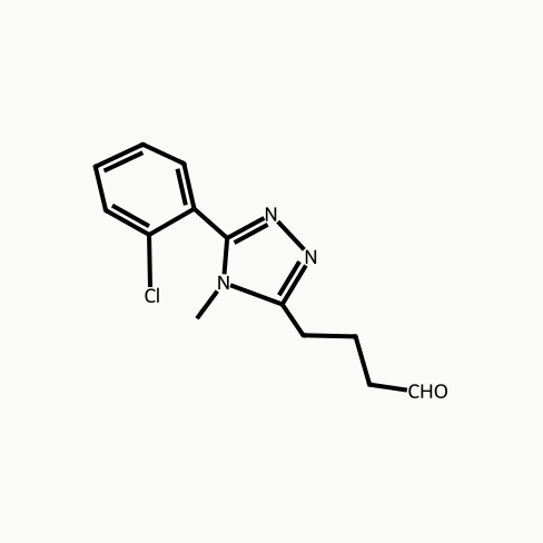 Cn1c(CCCC=O)nnc1-c1ccccc1Cl